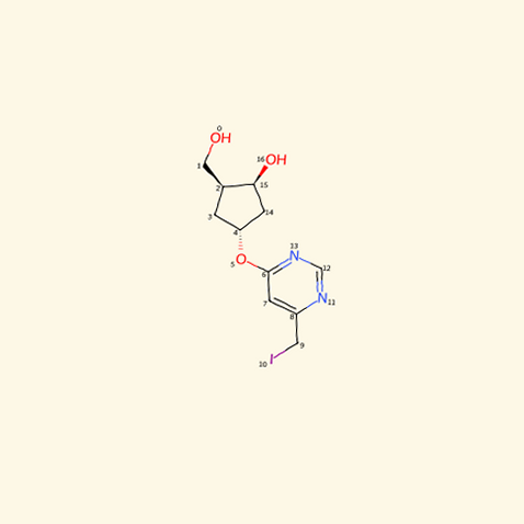 OC[C@@H]1C[C@@H](Oc2cc(CI)ncn2)C[C@@H]1O